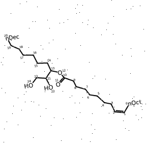 CCCCCCCC/C=C\CCCCCCCC(=O)OC(CCCCCCCCCCCCCCCC)C(O)CO